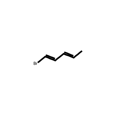 CC=CC=CBr